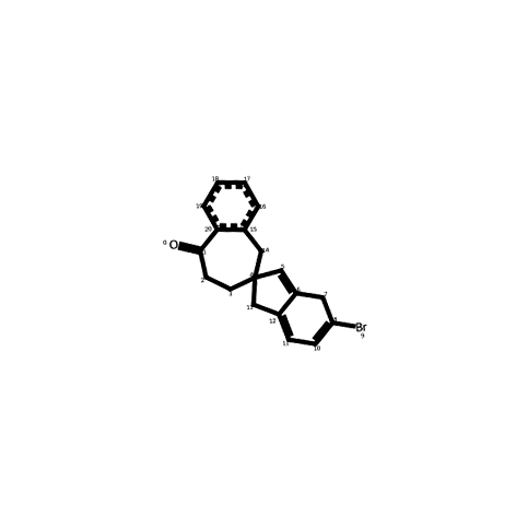 O=C1CCC2(C=C3CC(Br)=CC=C3C2)Cc2ccccc21